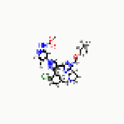 COC(=O)Nc1cc(-n2cc(-c3ncn(COCC[Si](C)(C)C)n3)c(-c3cc(CN4CCCC4)ccc3Cl)n2)c(C)cn1